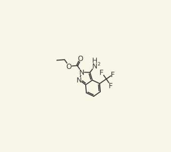 CCOC(=O)n1nc2cccc(C(F)(F)F)c2c1N